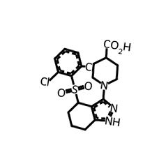 O=C(O)C1CCN(c2n[nH]c3c2C(S(=O)(=O)c2c(Cl)cccc2Cl)CCC3)CC1